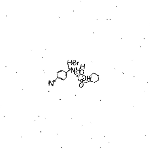 Br.C[C@@H](NC[C@H](O)CP(=O)(O)CC1CCCCC1)c1ccc(C#N)cc1